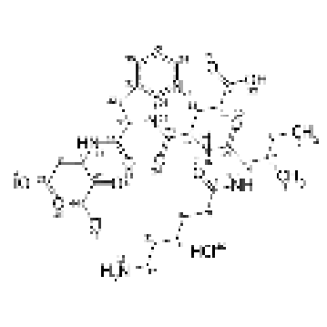 CC[C@H](C)[C@H](NC(=O)CCCCCN)C(=O)NC(CCC(=O)O)C(=O)N1c2ncccc2CC1C(=O)NC(CC(=O)O)C(=O)CCl.Cl